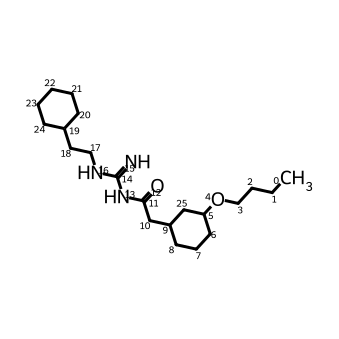 CCCCOC1CCCC(CC(=O)NC(=N)NCCC2CCCCC2)C1